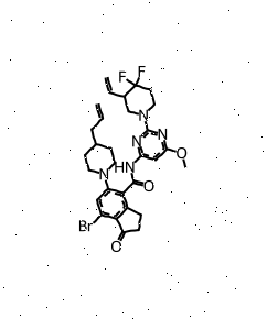 C=CCC1CCN(c2cc(Br)c3c(c2C(=O)Nc2cc(OC)nc(N4CCC(F)(F)C(C=C)C4)n2)CCC3=O)CC1